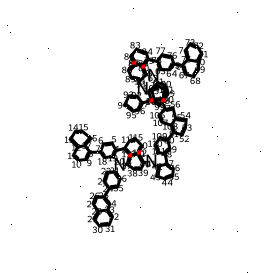 c1ccc(-c2ccc(-c3cccc4ccccc34)cc2N(c2ccc(-c3ccc4ccccc4c3)cc2)c2ccc(-n3c4ccccc4c4cc(-c5cccc6cc(-c7ccc(N(c8cc(-c9cccc%10ccccc9%10)ccc8-c8ccccc8)c8ccccc8-n8c9ccccc9c9ccccc98)cc7)ccc56)ccc43)cc2)cc1